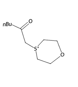 CCCCC(=O)C[S+]1CCOCC1